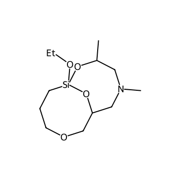 CCO[Si]12CCCOCC(CN(C)CC(C)O1)O2